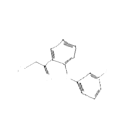 O=C(CCl)c1ccccc1Oc1cccc(C(F)(F)F)c1